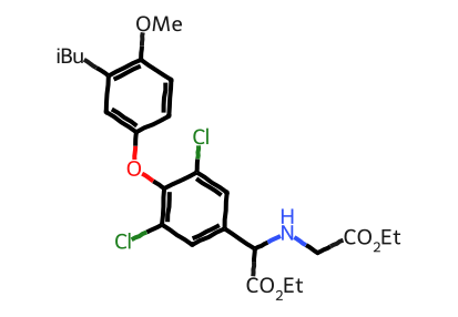 CCOC(=O)CNC(C(=O)OCC)c1cc(Cl)c(Oc2ccc(OC)c(C(C)CC)c2)c(Cl)c1